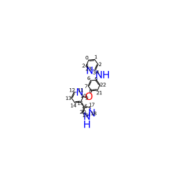 c1ccc(Nc2ccc(Oc3ncccc3-c3cn[nH]c3)cc2)nc1